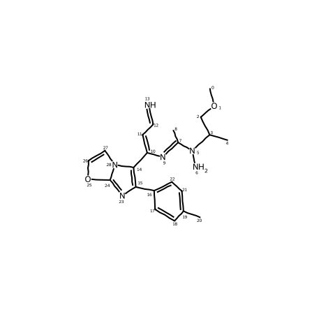 COCC(C)N(N)/C(C)=N/C(=C\C=N)c1c(-c2ccc(C)cc2)nc2occn12